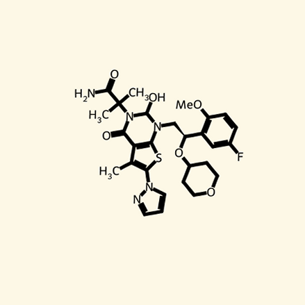 COc1ccc(F)cc1[C@H](CN1c2sc(-n3cccn3)c(C)c2C(=O)N(C(C)(C)C(N)=O)C1O)OC1CCOCC1